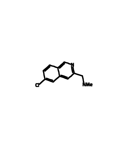 CNCc1cc2cc(Cl)ccc2cn1